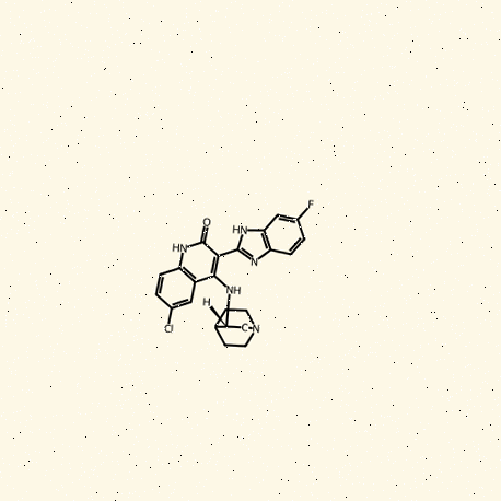 O=c1[nH]c2ccc(Cl)cc2c(N[C@@H]2CN3CCC2CC3)c1-c1nc2ccc(F)cc2[nH]1